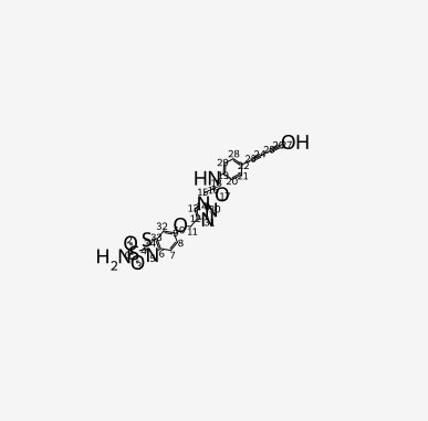 NS(=O)(=O)c1nc2ccc(OCc3cn(CC(=O)Nc4ccc(C#CC#CO)cc4)nn3)cc2s1